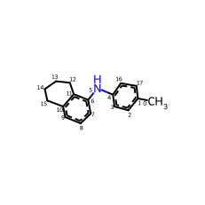 Cc1ccc(Nc2cccc3c2CCCC3)cc1